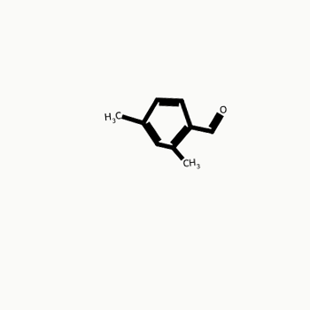 Cc1ccc([C]=O)c(C)c1